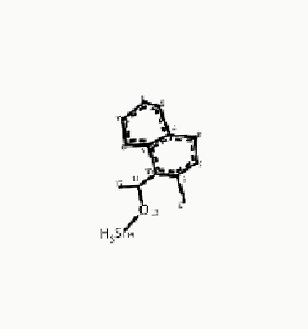 Cc1ccc2ccccc2c1C(C)O[SiH3]